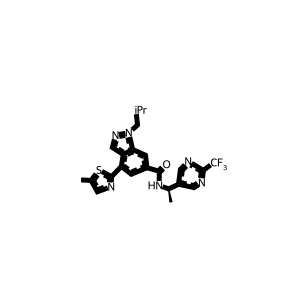 Cc1cnc(-c2cc(C(=O)N[C@H](C)c3cnc(C(F)(F)F)nc3)cc3c2cnn3CC(C)C)s1